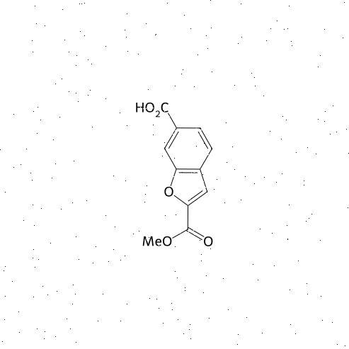 COC(=O)c1cc2ccc(C(=O)O)cc2o1